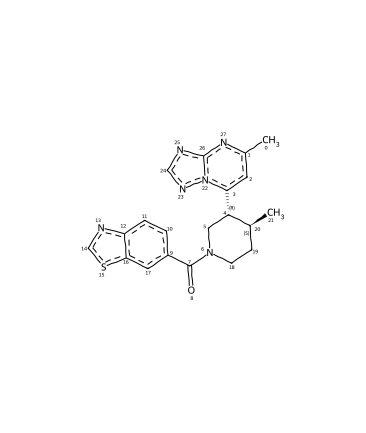 Cc1cc([C@H]2CN(C(=O)c3ccc4ncsc4c3)CC[C@@H]2C)n2ncnc2n1